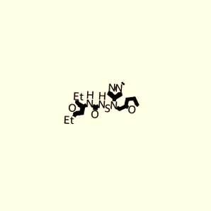 CCc1cc(NC(=O)NSN(CC2CCCO2)c2cnn(C)c2)c(CC)o1